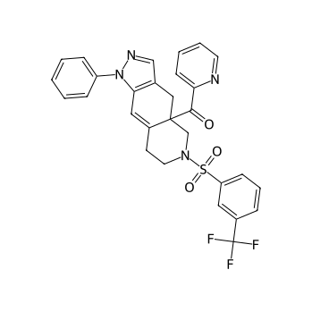 O=C(c1ccccn1)C12Cc3cnn(-c4ccccc4)c3C=C1CCN(S(=O)(=O)c1cccc(C(F)(F)F)c1)C2